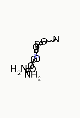 N#CCCCCCOc1ccc(C(F)(F)Oc2ccc(/C=C/C(=O)OCCCOC(=O)c3cc(N)cc(N)c3)cc2)cc1